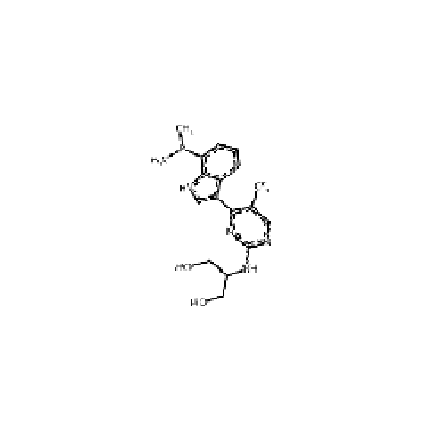 CP(C)c1cccc2c(-c3nc(NC(CO)CO)ncc3C(F)(F)F)c[nH]c12